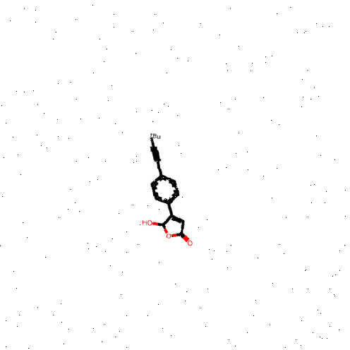 CC(C)(C)C#Cc1ccc(C2=CC(=O)OC2O)cc1